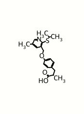 Cc1cnc(SC(C)C)c(COc2ccc(CC(C)C(=O)O)cc2)c1